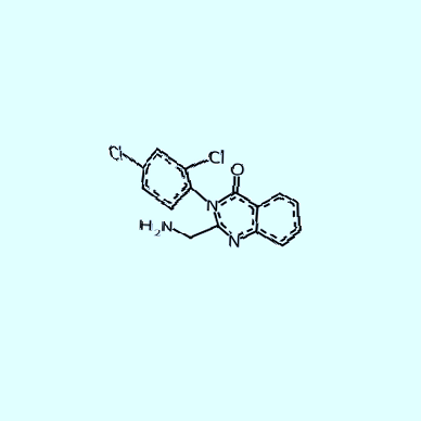 NCc1nc2ccccc2c(=O)n1-c1ccc(Cl)cc1Cl